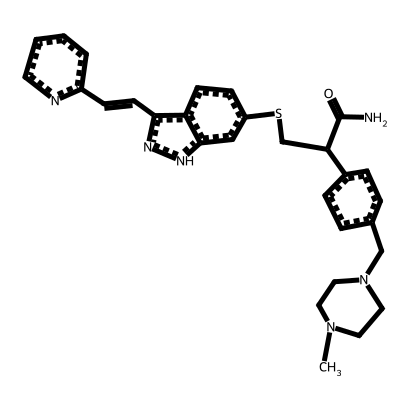 CN1CCN(Cc2ccc(C(CSc3ccc4c(C=Cc5ccccn5)n[nH]c4c3)C(N)=O)cc2)CC1